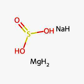 O=S(O)O.[MgH2].[NaH]